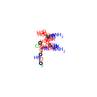 Nc1ccn([C@@H]2O[C@H](COP(=O)(O)O)[C@@H](OP(=O)(O)OC[C@H]3O[C@@H](n4cnc5c(N)ncnc54)C(O)C3OC(=O)[C@H](COc3ccccc3Cl)NC(=O)OCc3ccc(NC(=O)Cc4ccc(F)cc4)cc3)[C@H]2O)c(=O)n1